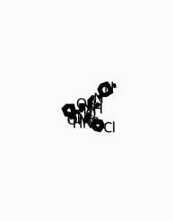 COc1ccccc1C(NC(=O)Nc1ccc(Cl)cc1)C(=O)NN1CCN(C2CCCN(C)CC2)CC1